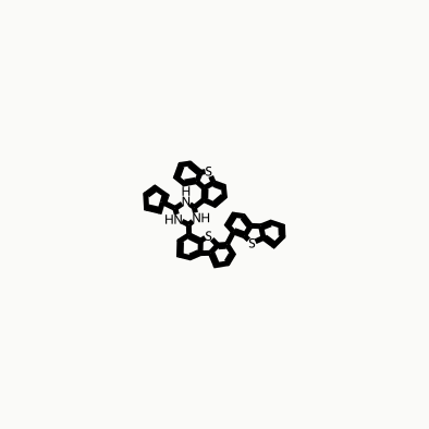 c1ccc(C2NC(c3cccc4c3sc3c(-c5cccc6c5sc5ccccc56)cccc34)NC(c3cccc4sc5ccccc5c34)N2)cc1